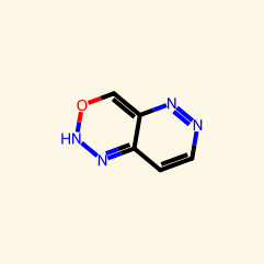 C1=c2nnccc2=NNO1